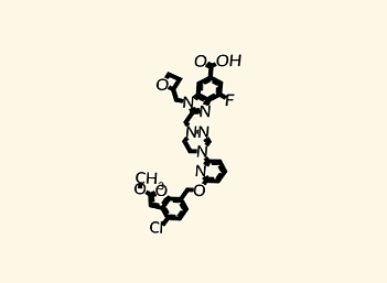 COc1cc2c(Cl)ccc(COc3cccc(N4C=NN(Cc5nc6c(F)cc(C(=O)O)cc6n5CC5CCO5)CC4)n3)c2o1